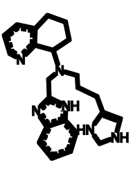 C1=C(CCCN(Cc2nc3ccccc3[nH]2)C2CCCc3cccnc32)NCN1